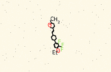 C=CC1CCC(/C=C/C2CCC(c3ccc(OCC)c(C(F)F)c3F)CC2)CO1